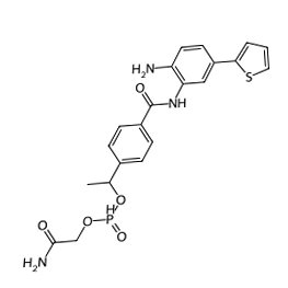 CC(O[PH](=O)OCC(N)=O)c1ccc(C(=O)Nc2cc(-c3cccs3)ccc2N)cc1